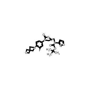 CC(C)(C)OC(=O)N(C[C@H]1CN(c2ccc(N3CC4(COC4)C3)c(F)c2)C(=O)O1)c1ccon1